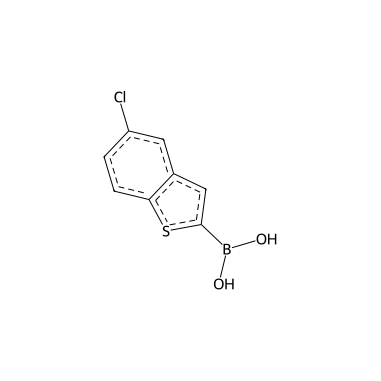 OB(O)c1cc2cc(Cl)ccc2s1